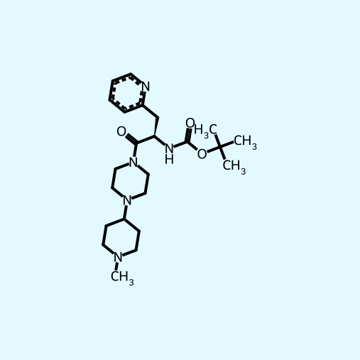 CN1CCC(N2CCN(C(=O)[C@@H](Cc3ccccn3)NC(=O)OC(C)(C)C)CC2)CC1